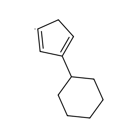 [C]1=CC(C2CCCCC2)=CC1